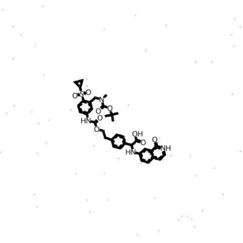 CN(Cc1cc(NC(=O)OCCc2ccc(C(Nc3ccc4cc[nH]c(=O)c4c3)C(=O)O)cc2)ccc1S(=O)(=O)C1CC1)C(=O)OC(C)(C)C